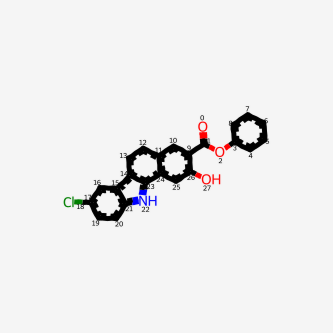 O=C(Oc1ccccc1)c1cc2ccc3c4cc(Cl)ccc4[nH]c3c2cc1O